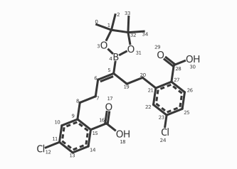 CC1(C)OB(C(=CCCc2cc(Cl)ccc2C(=O)O)CCc2cc(Cl)ccc2C(=O)O)OC1(C)C